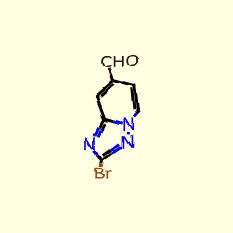 O=Cc1ccn2nc(Br)nc2c1